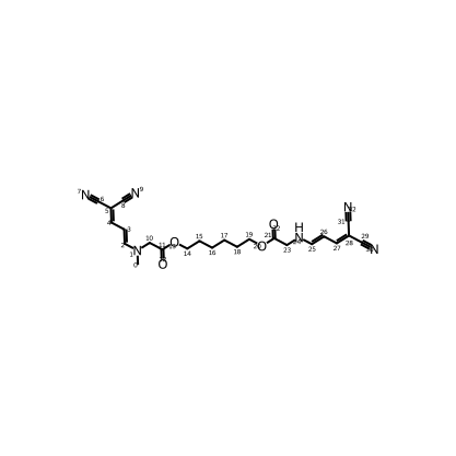 CN(/C=C/C=C(C#N)C#N)CC(=O)OCCCCCCOC(=O)CN/C=C/C=C(C#N)C#N